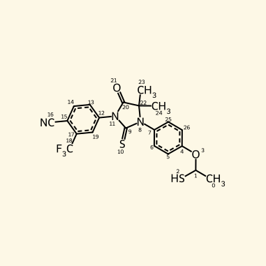 CC(S)Oc1ccc(N2C(=S)N(c3ccc(C#N)c(C(F)(F)F)c3)C(=O)C2(C)C)cc1